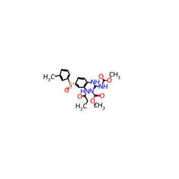 CCC(=O)Nc1cc([S+]([O-])c2cccc(C)c2)ccc1NC(=NC(=O)OC)NC(=O)OC